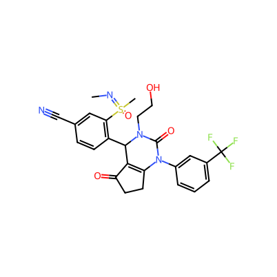 CN=S(C)(=O)c1cc(C#N)ccc1C1C2=C(CCC2=O)N(c2cccc(C(F)(F)F)c2)C(=O)N1CCO